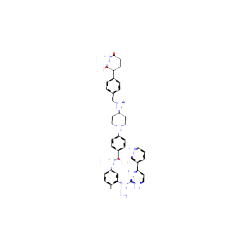 Cc1ccc(NC(=O)c2ccc(N3CCC(N(C)Cc4ccc(C5CCC(=O)NC5=O)cc4)CC3)cc2)cc1Nc1nccc(-c2cccnc2)n1